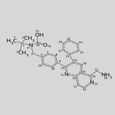 CC(C)(C)N(Cc1ccc(-c2nc3ccnc(CN)c3cc2-c2ccccc2)cc1)C(=O)O